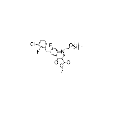 CCOC(=O)c1cn(CCO[Si](C)(C)C(C)(C)C)c2cc(F)c(Cc3cccc(Cl)c3F)cc2c1=O